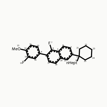 CCCCCCCC1(c2ccc3c(F)c(-c4ccc(OC)c(F)c4)ccc3c2)CCCCC1